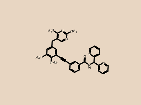 COc1cc(Cc2cnc(N)nc2N)cc(C#Cc2cccc(C(=O)NC(c3ccccn3)c3ccccn3)c2)c1OC